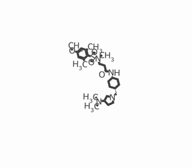 COc1cc(C)c(S(=O)(=O)N(C)CCC(=O)N[C@H]2CC[C@@H](CN3CCC(N(C)C)C3)CC2)c(C)c1